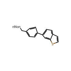 CCCCCCCCCCc1ccc(-c2ccc3ccsc3c2)cc1